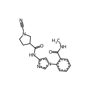 CNC(=O)c1ccccc1-n1cnc(NC(=O)C2CCN(C#N)C2)c1